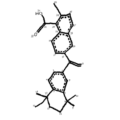 C=C(c1ccc2c(c1)C(C)(C)CCC2(C)C)c1ccc2c(C(=O)O)c(C)ccc2c1